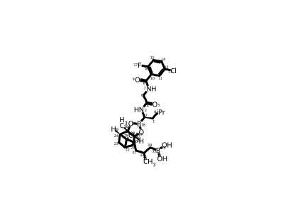 CC(C)C[C@H](NC(=O)CNC(=O)c1cc(Cl)ccc1F)B1O[C@@H]2CC3C[C@H]([C@]2(C)O1)[C@]3(C)CCC(C)CB(O)O